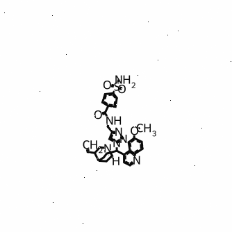 C=CC1CN2CCC1C[C@@H]2C(c1ccnc2ccc(OC)cc12)n1cc(CNC(=O)c2ccc(S(N)(=O)=O)cc2)nn1